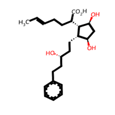 CC=CCCC(C(=O)O)[C@H]1[C@@H](CC[C@@H](O)CCc2ccccc2)[C@H](O)C[C@@H]1O